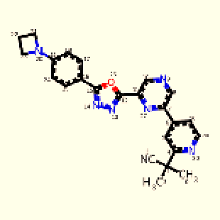 CC(C)(C#N)c1cc(-c2cncc(-c3nnc(-c4ccc(N5CCC5)cc4)o3)n2)ccn1